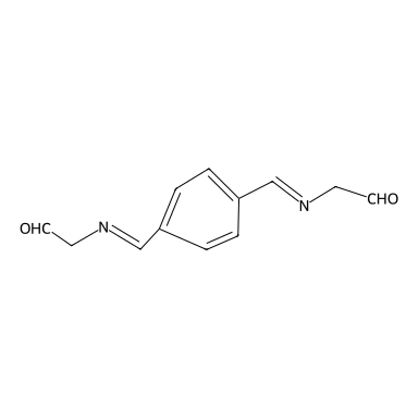 O=CCN=Cc1ccc(C=NCC=O)cc1